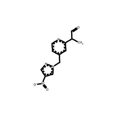 CC(C=O)c1cc(Cn2cc([N+](=O)[O-])cn2)ccn1